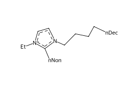 CCCCCCCCCCCCCCn1cc[n+](CC)c1CCCCCCCCC